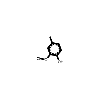 Cc1ccc(O)c(OCl)c1